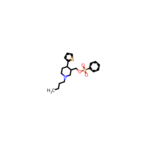 CCCCN1CCC(c2cccs2)C(COS(=O)(=O)c2ccccc2)C1